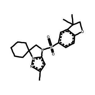 Cc1cc2n(n1)C1(CCCCC1)CN2S(=O)(=O)c1ccc2c(c1)C(C)(C)CO2